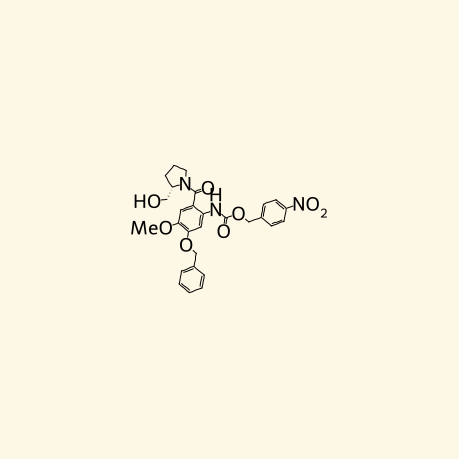 COc1cc(C(=O)N2CCC[C@H]2CO)c(NC(=O)OCc2ccc([N+](=O)[O-])cc2)cc1OCc1ccccc1